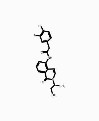 C[C@@H](CO)n1ccc2c(NC(=O)Cc3ccc(Cl)c(F)c3)cccc2c1=O